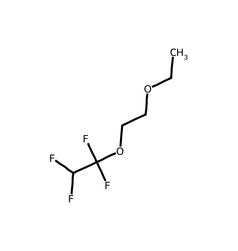 CCOCCOC(F)(F)C(F)F